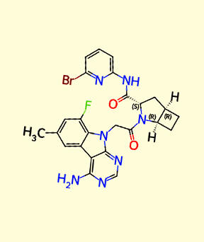 Cc1cc(F)c2c(c1)c1c(N)ncnc1n2CC(=O)N1[C@@H]2CC[C@@H]2C[C@H]1C(=O)Nc1cccc(Br)n1